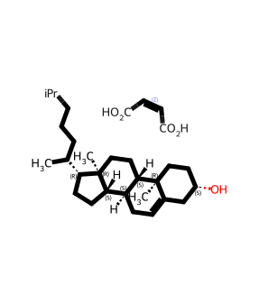 CC(C)CCCC(C)[C@H]1CC[C@H]2[C@@H]3CC=C4C[C@@H](O)CC[C@]4(C)[C@H]3CC[C@]12C.O=C(O)/C=C\C(=O)O